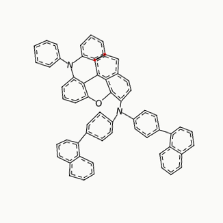 c1ccc(N(c2ccccc2)c2cccc3c2-c2cccc4ccc(N(c5ccc(-c6cccc7ccccc67)cc5)c5ccc(-c6cccc7ccccc67)cc5)c(c24)O3)cc1